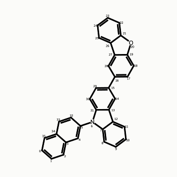 c1ccc2cc(-n3c4ccccc4c4cc(-c5ccc6oc7ccccc7c6c5)ccc43)ccc2c1